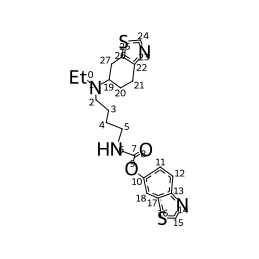 CCN(CCCCNC(=O)Oc1ccc2ncsc2c1)C1CCc2ncsc2C1